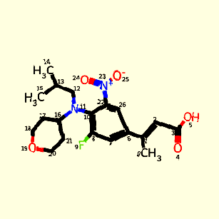 CC(=CC(=O)O)c1cc(F)c(N(CC(C)C)C2CCOCC2)c([N+](=O)[O-])c1